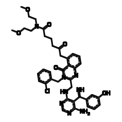 COCCN(CCOC)C(=O)CCCC(=O)Cc1cccc2nc(CNc3ncnc(N)c3C(=N)c3cccc(O)c3)n(Cc3ccccc3Cl)c(=O)c12